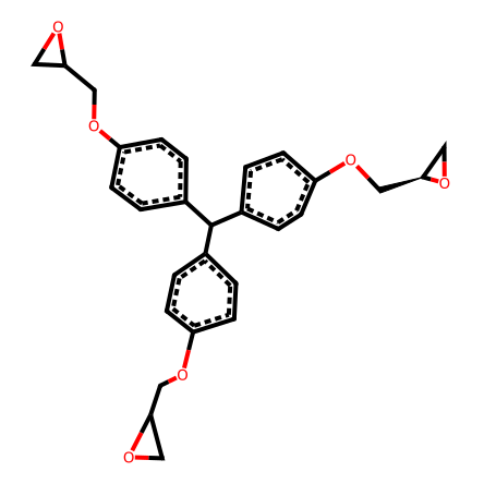 c1cc(C(c2ccc(OCC3CO3)cc2)c2ccc(OC[C@H]3CO3)cc2)ccc1OCC1CO1